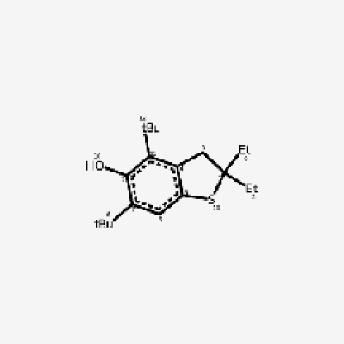 CCC1(CC)Cc2c(cc(C(C)(C)C)c(O)c2C(C)(C)C)S1